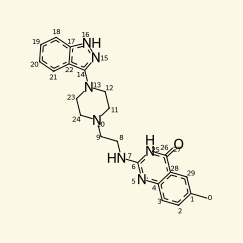 Cc1ccc2nc(NCCN3CCN(c4n[nH]c5ccccc45)CC3)[nH]c(=O)c2c1